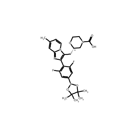 Cc1ccn2c(C[C@H]3CN(C(=O)O)CCO3)c(-c3c(F)cc(B4OC(C)(C)C(C)(C)O4)cc3F)nc2c1